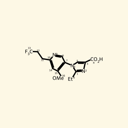 CCc1nc(C(=O)O)cn1-c1cnc(CCC(F)(F)F)cc1OC